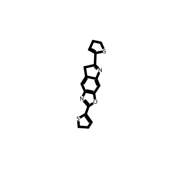 C1=C(C2=Nc3cc4oc(C5=CCCS5)nc4cc3C2)SCC1